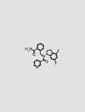 NC(=O)c1ccccc1CN(C(=O)c1cccnc1)[C@@H]1CCc2c(F)cc(F)cc21